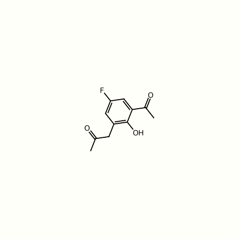 CC(=O)Cc1cc(F)cc(C(C)=O)c1O